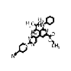 CCOC(=O)c1cc(-c2cnc(N3CCC(C#N)CC3)nc2)c(/C(=N\C)C(C)C)c(NC2CCCCC2)n1